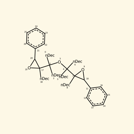 CCCCCCCCCCC(CCCCCCCCCC)(OC(CCCCCCCCCC)(CCCCCCCCCC)C1(CCCCCCCCCC)OC1c1ccccc1)C1(CCCCCCCCCC)OC1c1ccccc1